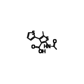 CC(=O)Nc1sc(C)c(-c2cccs2)c1C(=O)O